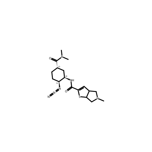 CN1CC2C=C(C(=O)N[C@@H]3C[C@@H](C(=O)N(C)C)CC[C@@H]3N=[N+]=[N-])SC2C1